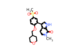 Cn1ccc2c(-c3cc(S(C)(=O)=O)ccc3OCC3CCOCC3)c[nH]c2c1=O